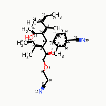 C=C/C(C)=C(/C(=O)COCCC#N)[C@H](/C(C(=C)O)=C(C)/C(C)=C\C)c1ccc(C#N)cc1C